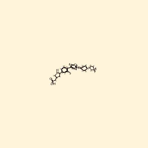 Cc1cc(C2CC(CC(=O)O)CN2)ccc1-c1noc(-c2ccc(C3CCC(F)(F)C3)cc2)n1